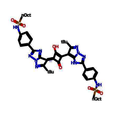 CCCCCCCCS(=O)(=O)Nc1ccc(-c2nc3/c(=C4/C(=O)C(c5c(C(C)(C)C)nn6nc(-c7ccc(NS(=O)(=O)CCCCCCCC)cc7)[nH]c56)=C4O)c(C(C)(C)C)nn3n2)cc1